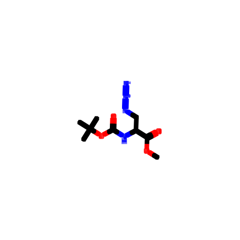 COC(=O)C(CN=[N+]=[N-])NC(=O)OC(C)(C)C